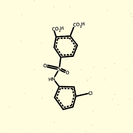 O=C(O)c1ccc(S(=O)(=O)Nc2cccc(Cl)c2)cc1C(=O)O